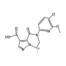 COc1nc(N2C[C@H](C)n3ncc(C(=O)O)c3C2=O)ccc1Cl